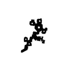 CCCOC(=O)CCN(N)SCc1cc(OC)c(Cl)cc1OC